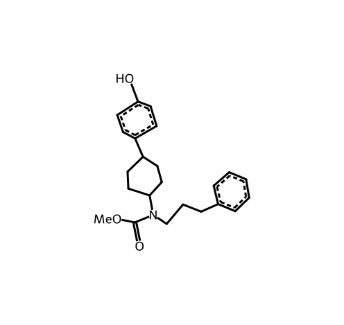 COC(=O)N(CCCc1ccccc1)C1CCC(c2ccc(O)cc2)CC1